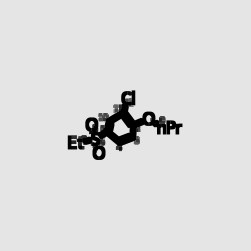 CCCOc1ccc(S(=O)(=O)CC)cc1Cl